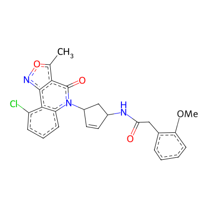 COc1ccccc1CC(=O)NC1C=CC(n2c(=O)c3c(C)onc3c3c(Cl)cccc32)C1